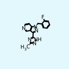 Cc1n[nH]c(-c2nn(Cc3ccccc3F)c3ccncc23)n1